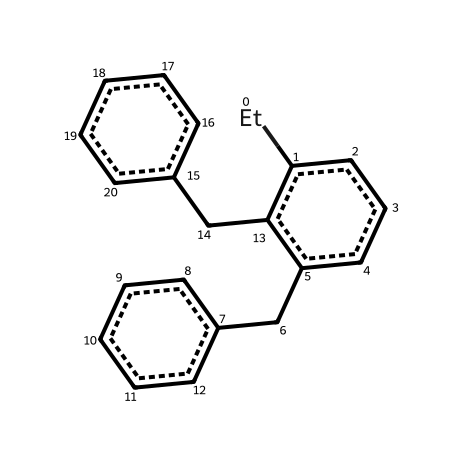 CCc1cccc(Cc2ccccc2)c1Cc1ccccc1